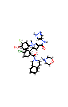 CN(C(=O)C1=C[N+](C)(c2ccc(O)c(F)c2)C(c2cc(Cl)ccc2C(=O)N2Cc3ccccc3C[C@H]2CN2CCOCC2)=C1)c1cnn(C)c1